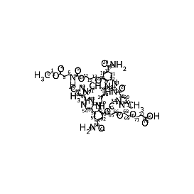 CCOC(=O)CCNC(=O)OCCCOc1cc(C(N)=O)cc2nc(NC(=O)c3cc(C)nn3CC)n(CC=CCn3c4nc(-c5cc(C)nn5CC)ncc4c4cc(C(N)=O)cc(OCCOCCOCCC(=O)O)c43)c12